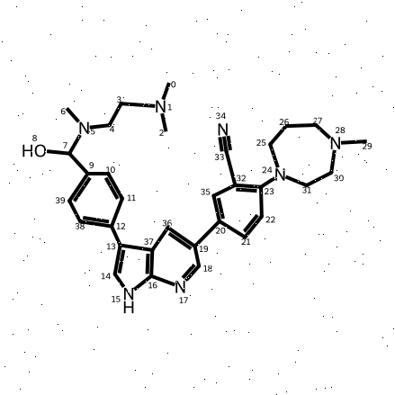 CN(C)CCN(C)C(O)c1ccc(-c2c[nH]c3ncc(-c4ccc(N5CCCN(C)CC5)c(C#N)c4)cc23)cc1